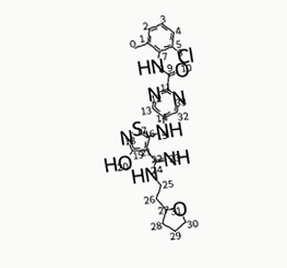 Cc1cccc(Cl)c1NC(=O)c1ncc(Nc2snc(O)c2C(=N)NCCC2CCCO2)cn1